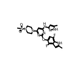 Cc1cc(Nc2cc(N3CCN(S(C)(=O)=O)CC3)nc(Oc3cc(F)c4[nH]c(C)cc4c3F)n2)n[nH]1